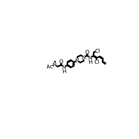 C=C/C=C\C(Cl)=C(/CCl)NC(=O)N1CCN(c2ccc(NC(=O)CN(C)C(C)=O)cc2)CC1